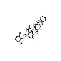 Cc1cc(OCc2c(F)cccc2F)c2nc(C)c(NC(=O)C(C)N(Cc3ccccc3)C(=O)O)n2c1